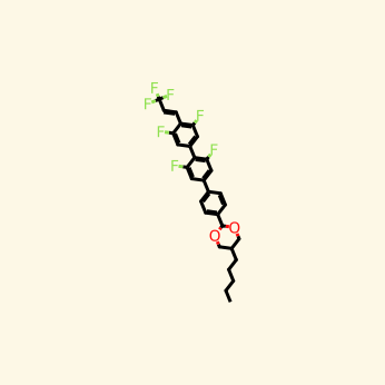 CCCCCC1COC(c2ccc(-c3cc(F)c(-c4cc(F)c(/C=C/C(F)(F)F)c(F)c4)c(F)c3)cc2)OC1